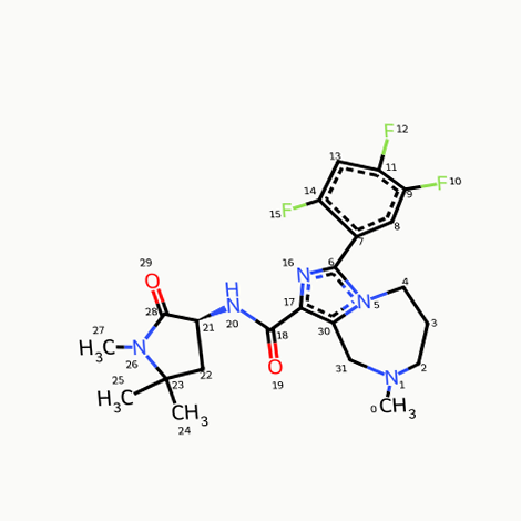 CN1CCCn2c(-c3cc(F)c(F)cc3F)nc(C(=O)N[C@H]3CC(C)(C)N(C)C3=O)c2C1